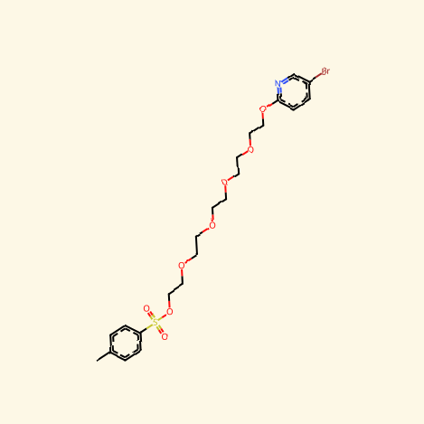 Cc1ccc(S(=O)(=O)OCCOCCOCCOCCOCCOc2ccc(Br)cn2)cc1